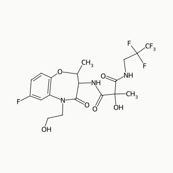 CC1Oc2ccc(F)cc2N(CCO)C(=O)C1NC(=O)C(C)(O)C(=O)NCC(F)(F)C(F)(F)F